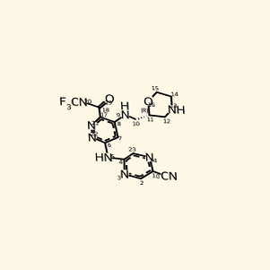 N#Cc1cnc(Nc2cc(NC[C@H]3CNCCO3)c(C(=O)NC(F)(F)F)nn2)cn1